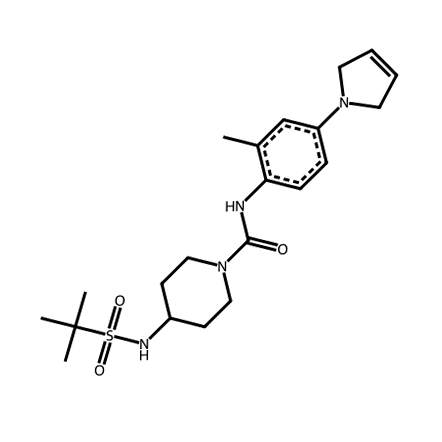 Cc1cc(N2CC=CC2)ccc1NC(=O)N1CCC(NS(=O)(=O)C(C)(C)C)CC1